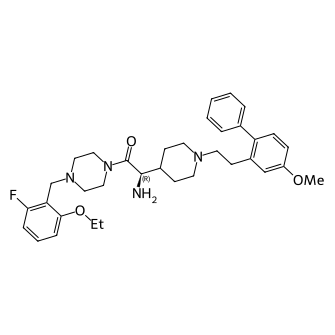 CCOc1cccc(F)c1CN1CCN(C(=O)[C@H](N)C2CCN(CCc3cc(OC)ccc3-c3ccccc3)CC2)CC1